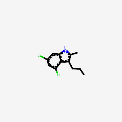 CCCc1c(C)[nH]c2cc(Cl)cc(Cl)c12